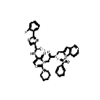 C[C@@H](Nc1cnc(N2CCCCC2)n(CC(=O)NCc2cc3cnccc3n2S(=O)(=O)c2ccccc2)c1=O)c1coc(-c2ccccc2F)n1